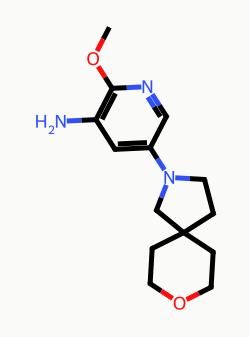 COc1ncc(N2CCC3(CCOCC3)C2)cc1N